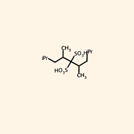 CC(C)CC(C)C(C(C)CC(C)C)(S(=O)(=O)O)S(=O)(=O)O